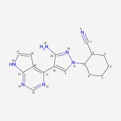 N#CC1CCCCC1n1cc(-c2ncnc3[nH]ccc23)c(N)n1